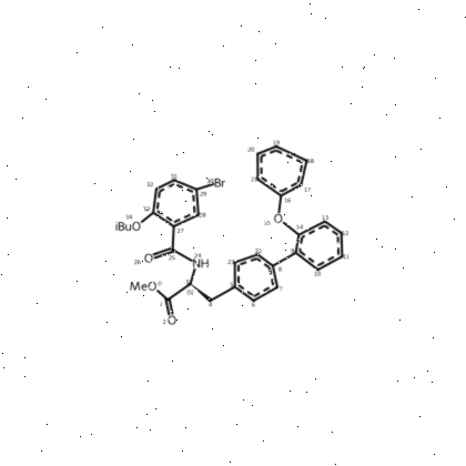 COC(=O)[C@H](Cc1ccc(-c2ccccc2Oc2ccccc2)cc1)NC(=O)c1cc(Br)ccc1OCC(C)C